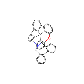 c1ccc2c(c1)CN(c1cccc3c1C1(c4ccccc4Oc4ccccc41)c1ccccc1-3)Cc1ccccc1-2